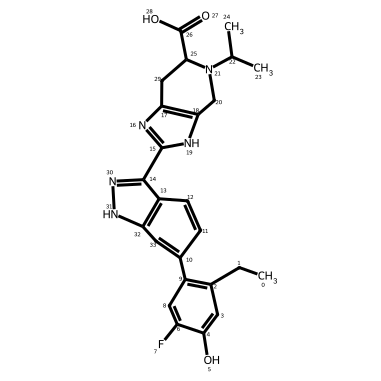 CCc1cc(O)c(F)cc1-c1ccc2c(-c3nc4c([nH]3)CN(C(C)C)C(C(=O)O)C4)n[nH]c2c1